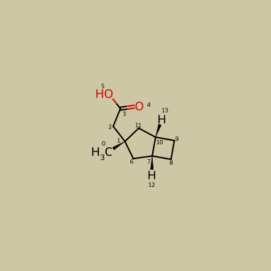 C[C@]1(CC(=O)O)C[C@H]2CC[C@H]2C1